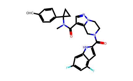 CN(C(=O)c1cnn2c1CN(C(=O)c1cc3c(F)cc(F)cc3[nH]1)CC2)C1(c2ccc(C=O)cc2)CC1